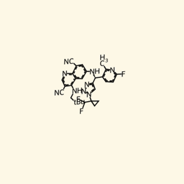 Cc1nc(F)ccc1[C@H](Nc1cc(C#N)c2ncc(C#N)c(NCC(C)(C)C)c2c1)c1cn(C2(C(F)F)CC2)nn1